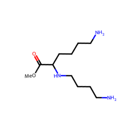 COC(=O)C(CCCCN)NCCCCN